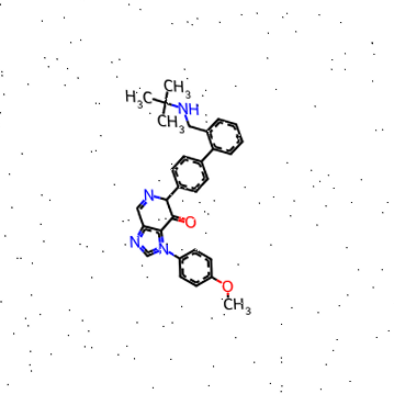 COc1ccc(-n2cnc3c2C(=O)C(c2ccc(-c4ccccc4CNC(C)(C)C)cc2)N=C3)cc1